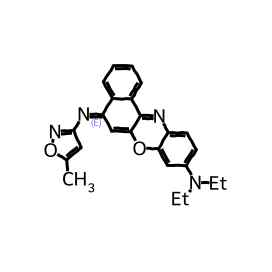 CCN(CC)c1ccc2nc3c4ccccc4/c(=N/c4cc(C)on4)cc-3oc2c1